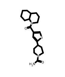 NC(=O)N1CCC(c2cc(C(=O)N3CCCC4CCCCC43)cs2)CC1